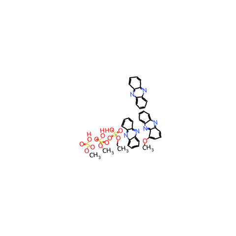 CCOS(=O)(=O)O.COS(=O)(=O)O.COS(=O)(=O)O.COc1cccc2nc3ccccc3nc12.c1ccc2nc3ccccc3nc2c1.c1ccc2nc3ccccc3nc2c1